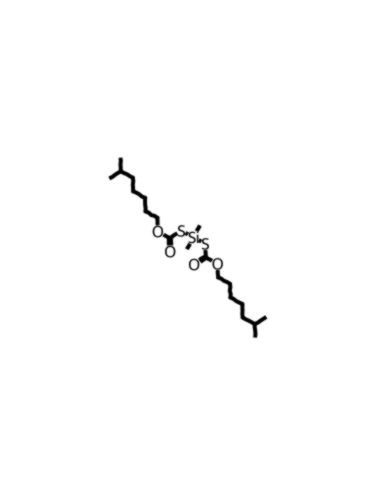 CC(C)CCCCCOC(=O)S[Si](C)(C)SC(=O)OCCCCCC(C)C